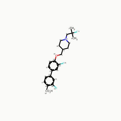 CC(C)(F)CN1CCC(COc2ccc(-c3ccc(C(=O)O)c(F)c3)cc2F)CC1